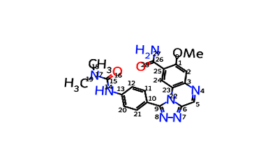 COc1cc2ncc3nnc(-c4ccc(NC(=O)N(C)C)cc4)n3c2cc1C(N)=O